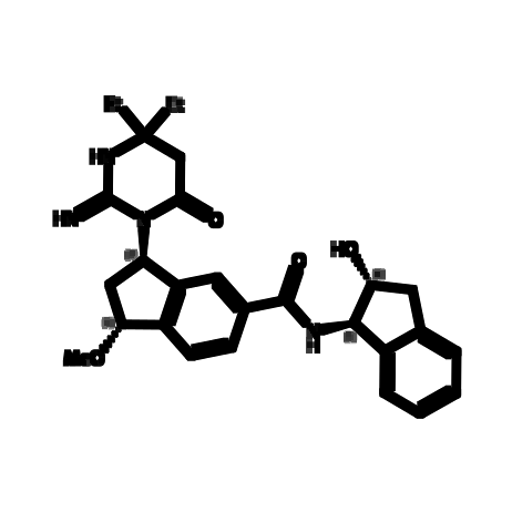 CCC1(CC)CC(=O)N([C@@H]2C[C@@H](OC)c3ccc(C(=O)N[C@@H]4c5ccccc5C[C@H]4O)cc32)C(=N)N1